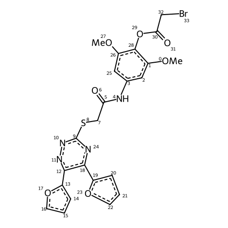 COc1cc(NC(=O)CSc2nnc(-c3ccco3)c(-c3ccco3)n2)cc(OC)c1OC(=O)CBr